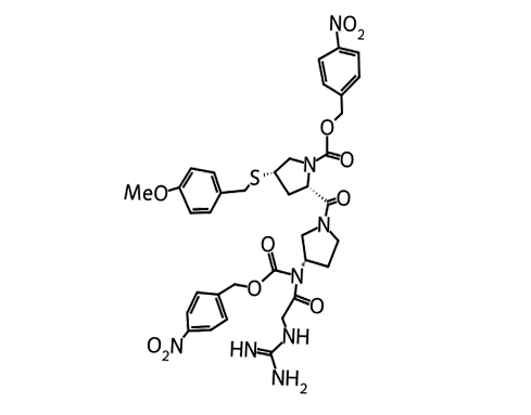 COc1ccc(CS[C@H]2C[C@@H](C(=O)N3CC[C@H](N(C(=O)CNC(=N)N)C(=O)OCc4ccc([N+](=O)[O-])cc4)C3)N(C(=O)OCc3ccc([N+](=O)[O-])cc3)C2)cc1